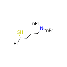 CCCN(CCC)CCCC(S)CC